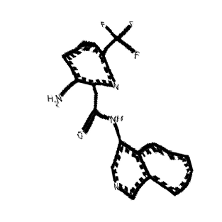 Nc1ccc(C(F)(F)F)nc1C(=O)Nc1cncc2ccccc12